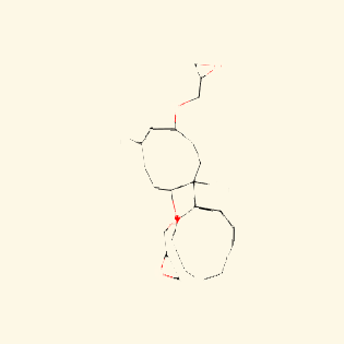 CC1CCC(OCC2CO2)C(C)(C2CCCCCCCC2)CCC(OCC2CO2)C1